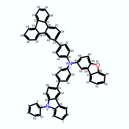 c1ccc(-n2c3ccccc3c3cc(-c4ccc(N(c5ccc(-c6ccc7c8ccccc8c8ccccc8c7c6)cc5)c5ccc6oc7ccccc7c6c5)cc4)ccc32)cc1